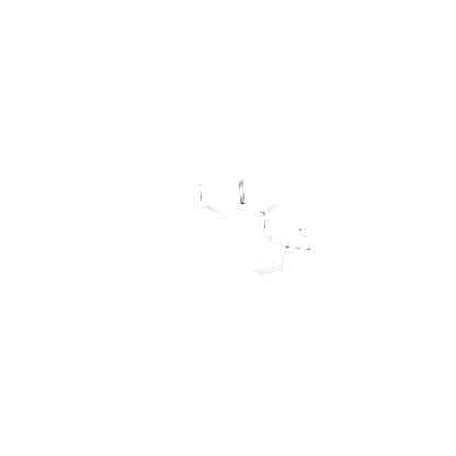 C=CC1(OC(=O)C(=C)C=C(C)C(=O)O)CC1